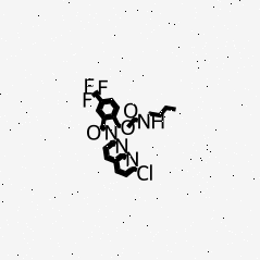 CCCCNC(=O)OC1c2ccc(C(F)(F)F)cc2C(=O)N1c1ccc2ccc(Cl)nc2n1